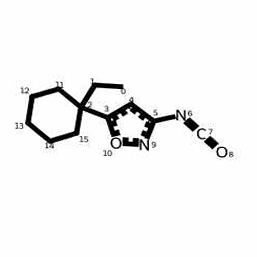 CCC1(c2cc(N=C=O)no2)CCCCC1